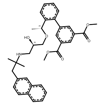 COC(=O)c1cc(C(=O)OC)cc(-c2ccccc2[C@@H](C)OC[C@H](O)CNC(C)(C)Cc2ccc3ccccc3c2)c1